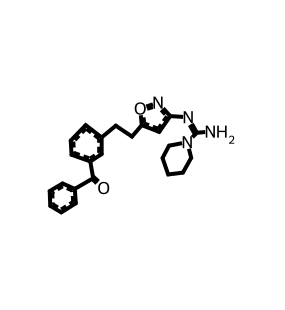 NC(=Nc1cc(CCc2cccc(C(=O)c3ccccc3)c2)on1)N1CCCCC1